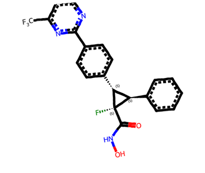 O=C(NO)[C@]1(F)[C@H](c2ccccc2)[C@H]1c1ccc(-c2nccc(C(F)(F)F)n2)cc1